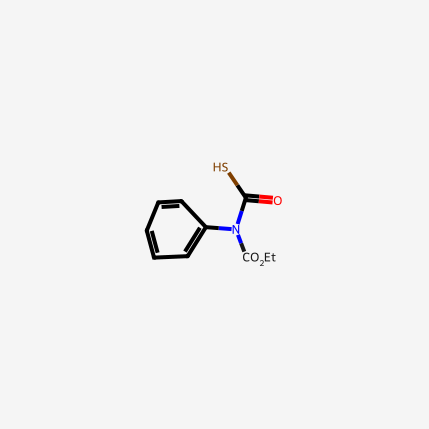 CCOC(=O)N(C(=O)S)c1ccccc1